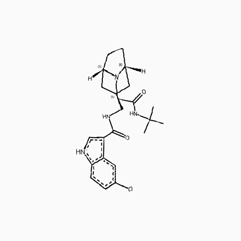 CC(C)(C)NC(=O)CN1[C@@H]2CC[C@H]1C[C@H](CNC(=O)c1c[nH]c3ccc(Cl)cc13)C2